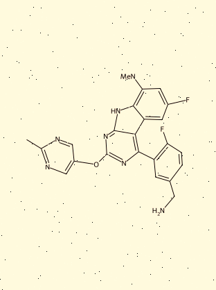 CNc1cc(F)cc2c1[nH]c1nc(Oc3cnc(C)nc3)nc(-c3cc(CN)ccc3F)c12